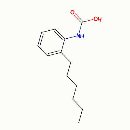 CCCCCCc1ccccc1NC(=O)O